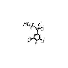 O=C(O)C1C(c2cc(Cl)c(F)c(Cl)c2)C1(Cl)Cl